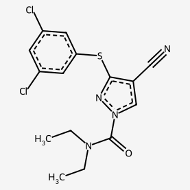 CCN(CC)C(=O)n1cc(C#N)c(Sc2cc(Cl)cc(Cl)c2)n1